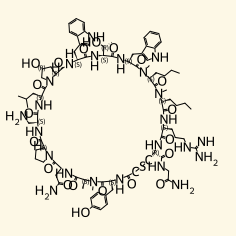 CCCC[C@H]1C(=O)N(C)[C@@H](CCCC)C(=O)N[C@@H](CCCNC(=N)N)C(=O)N[C@H](C(=O)NCC(N)=O)CSCC(=O)N[C@@H](Cc2ccc(O)cc2)C(=O)N(C)[C@@H](C)C(=O)NC(CC(N)=O)C(=O)N2CCC[C@H]2C(=O)N[C@@H](CN)C(=O)N[C@@H](CC(C)C)C(=O)N2C[C@H](O)C[C@H]2C(=O)N[C@@H](Cc2c[nH]c3ccccc23)C(=O)N[C@@H]([C@@H](C)O)C(=O)N[C@@H](Cc2c[nH]c3ccccc23)C(=O)N1C